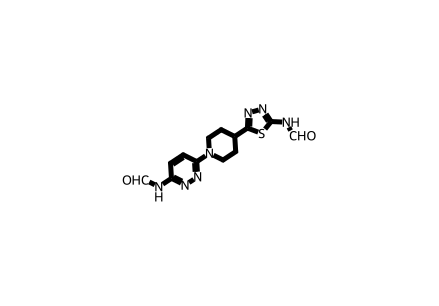 O=CNc1ccc(N2CCC(c3nnc(NC=O)s3)CC2)nn1